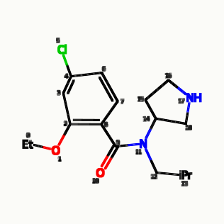 CCOc1cc(Cl)ccc1C(=O)N(CC(C)C)C1CCNC1